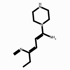 C=N/C(=C\C=C(/N)N1CCNCC1)CC